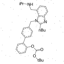 CCCCc1nc2cccc(CNC(C)C)c2n1Cc1ccc(-c2ccccc2OC(=O)OC(C)(C)C)cc1